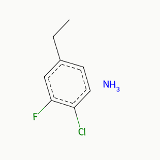 CCc1ccc(Cl)c(F)c1.N